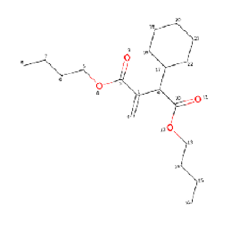 C=C(C(=O)OCCCC)C(C(=O)OCCCC)C1CCCCC1